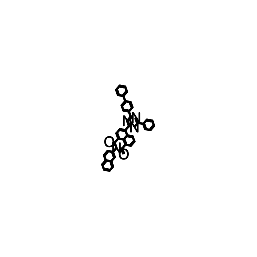 O=C1c2cccc3c(-c4nc(-c5ccccc5)nc(-c5ccc(-c6ccccc6)cc5)n4)ccc(c23)C(=O)N1c1ccc2ccccc2c1